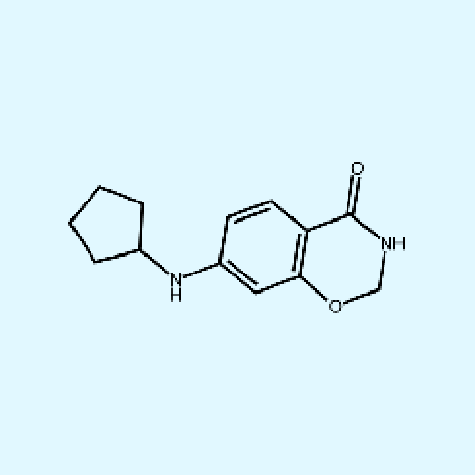 O=C1NCOc2cc(NC3CCCC3)ccc21